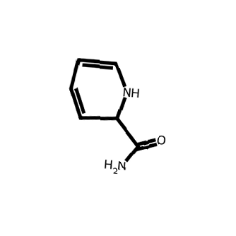 NC(=O)C1C=CC=CN1